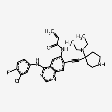 C=CC(=O)Nc1cc2c(Nc3ccc(F)c(Cl)c3)ncnc2cc1C#CC1(N(CC)CC)CCNCC1